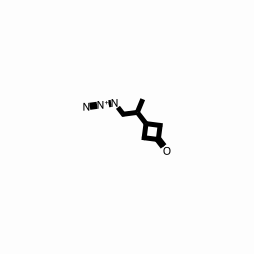 CC(CN=[N+]=[N-])C1CC(=O)C1